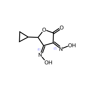 O=C1OC(C2CC2)C(=N/O)/C1=N/O